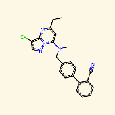 CCc1cc(N(C)Cc2ccc(-c3ccccc3C#N)cc2)n2ncc(Cl)c2n1